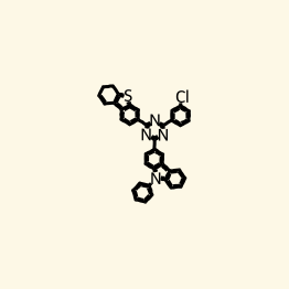 Clc1cccc(-c2nc(-c3ccc4c5c(sc4c3)CCC=C5)nc(-c3ccc4c(c3)c3ccccc3n4-c3ccccc3)n2)c1